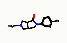 CCc1ccc(N2CC3CN(C(=O)O)CC3C2=O)cc1